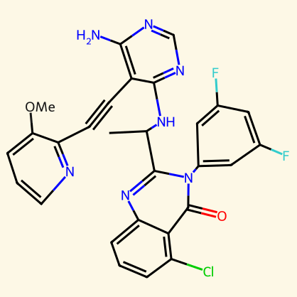 COc1cccnc1C#Cc1c(N)ncnc1NC(C)c1nc2cccc(Cl)c2c(=O)n1-c1cc(F)cc(F)c1